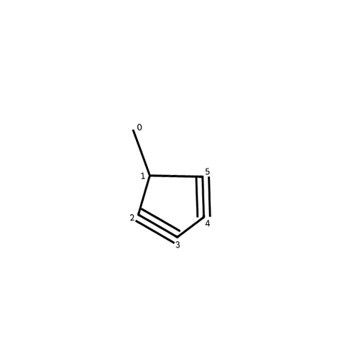 CC1C#CC#C1